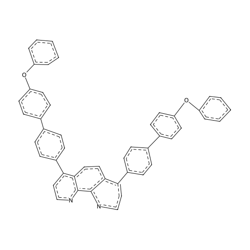 c1ccc(Oc2ccc(-c3ccc(-c4ccnc5c4ccc4c(-c6ccc(-c7ccc(Oc8ccccc8)cc7)cc6)ccnc45)cc3)cc2)cc1